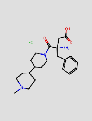 CN1CCC(C2CCN(C(=O)[C@](N)(CC(=O)O)Cc3ccccc3)CC2)CC1.Cl